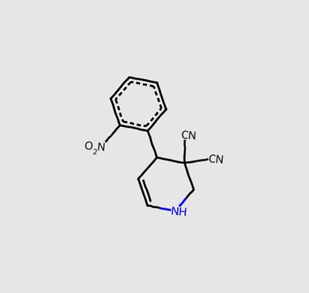 N#CC1(C#N)CNC=CC1c1ccccc1[N+](=O)[O-]